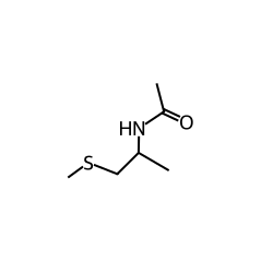 CSCC(C)NC(C)=O